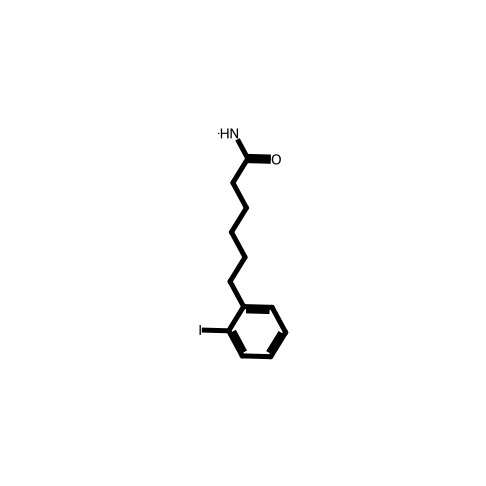 [NH]C(=O)CCCCCc1ccccc1I